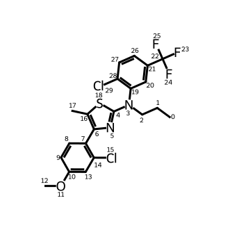 CCCN(c1nc(-c2ccc(OC)cc2Cl)c(C)s1)c1cc(C(F)(F)F)ccc1Cl